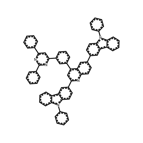 c1ccc(-c2cc(-c3cccc(-c4cc(-c5ccc6c(c5)c5ccccc5n6-c5ccccc5)nc5ccc(-c6ccc7c(c6)c6ccccc6n7-c6ccccc6)cc45)c3)nc(-c3ccccc3)n2)cc1